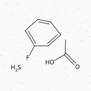 CC(=O)O.Fc1ccccc1.S